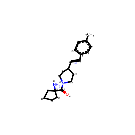 Cc1ccc(/C=C/C2CCN(C(=O)C3(N)CCCC3)CC2)cc1